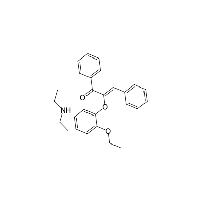 CCNCC.CCOc1ccccc1OC(=Cc1ccccc1)C(=O)c1ccccc1